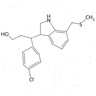 CSCc1cccc2c1NCC2C(CCO)c1ccc(Cl)cc1